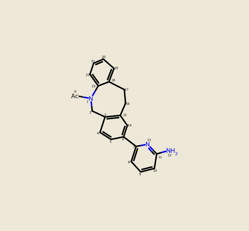 CC(=O)N1Cc2ccc(-c3cccc(N)n3)cc2CCc2ccccc21